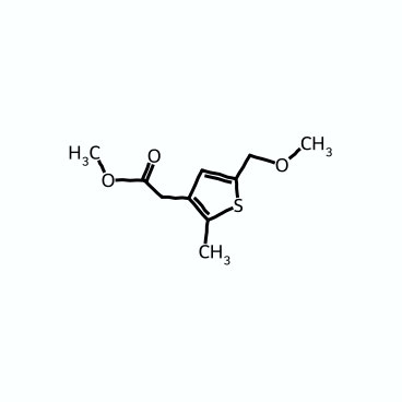 COCc1cc(CC(=O)OC)c(C)s1